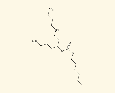 CCCCCCO[PH](=O)ON(CCCN)CCNCCCN